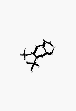 CC(C)(C)c1cc2c(cc1C(C)(C)C)=CSCC=2